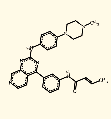 CC=CC(=O)Nc1cccc(-c2nc(Nc3ccc(N4CCN(C)CC4)cc3)nc3cnccc23)c1